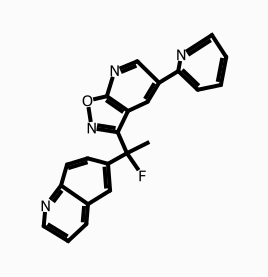 CC(F)(c1ccc2ncccc2c1)c1noc2ncc(-c3ccccn3)cc12